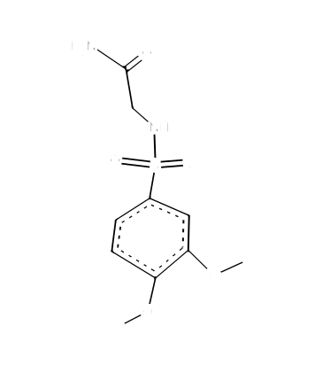 COc1ccc(S(=O)(=O)NCC(N)=O)cc1OC